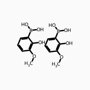 COc1cccc(B(O)O)c1O.COc1cccc(B(O)O)c1O